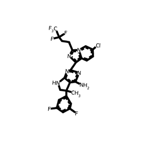 CC1(c2cc(F)cc(F)c2)CNc2nc(-c3nc(CCC(F)(F)C(F)(F)F)n4cc(Cl)ccc34)nc(N)c21